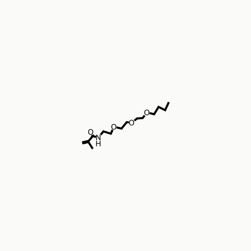 C=C(C)C(=O)NCCOCCOCCOCCCC